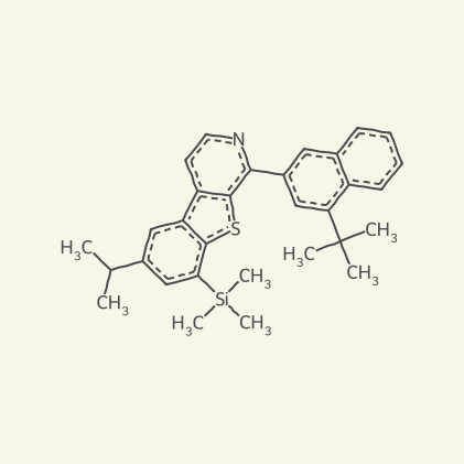 CC(C)c1cc([Si](C)(C)C)c2sc3c(-c4cc(C(C)(C)C)c5ccccc5c4)nccc3c2c1